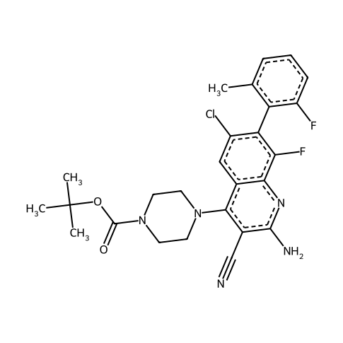 Cc1cccc(F)c1-c1c(Cl)cc2c(N3CCN(C(=O)OC(C)(C)C)CC3)c(C#N)c(N)nc2c1F